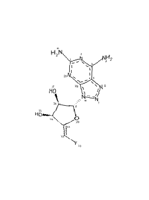 Nc1nc(N)c2nnn([C@@H]3O/C(=C\F)[C@@H](O)[C@H]3O)c2n1